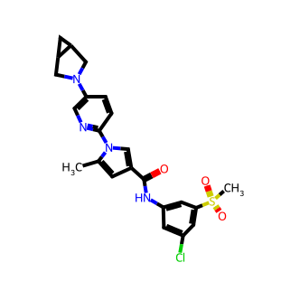 Cc1cc(C(=O)Nc2cc(Cl)cc(S(C)(=O)=O)c2)cn1-c1ccc(N2CC3CC3C2)cn1